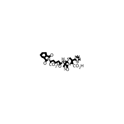 Cn1nnnc1C1=C(C(=O)O)N2C(=O)[C@@](C=S)(NC(=O)CCCC(C(=O)O)N3C(=O)c4ccccc4C3=O)[C@@H]2SC1